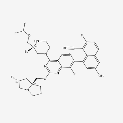 C#Cc1c(F)ccc2cc(O)cc(-c3ncc4c(N5CCN[C@@](CC)(COC(F)F)C5)nc(OC[C@@]56CCCN5C[C@H](F)C6)nc4c3F)c12